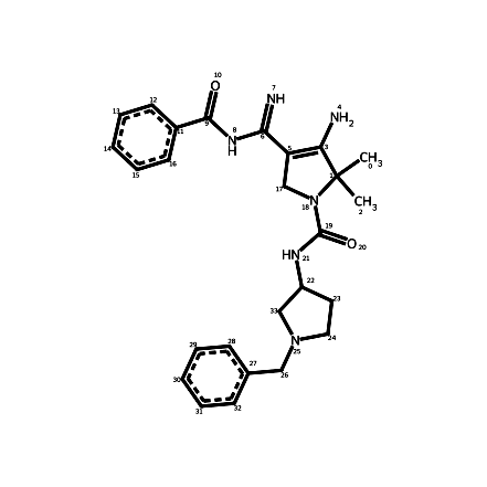 CC1(C)C(N)=C(C(=N)NC(=O)c2ccccc2)CN1C(=O)NC1CCN(Cc2ccccc2)C1